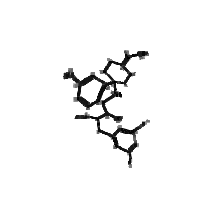 CC(=O)NC(Cc1cc(F)cc(F)c1)C(O)CNC1(c2cccc(C(C)(C)C)c2)CCC(=NO)CC1